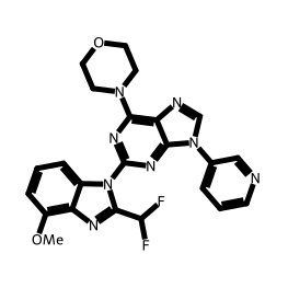 COc1cccc2c1nc(C(F)F)n2-c1nc(N2CCOCC2)c2ncn(-c3cccnc3)c2n1